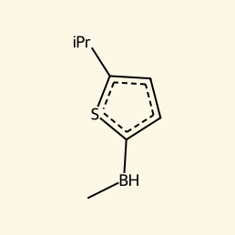 CBc1ccc(C(C)C)s1